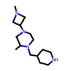 CC1CN(C2CN(C)C2)CCN1CC1CCNCC1